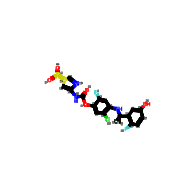 CC(Nc1cc(F)c(OC(=O)NC2=CS(=S(=O)=O)C=N2)cc1Cl)c1cc(O)ccc1F